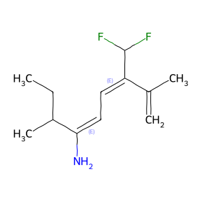 C=C(C)/C(=C\C=C(\N)C(C)CC)C(F)F